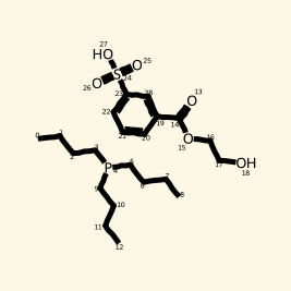 CCCCP(CCCC)CCCC.O=C(OCCO)c1cccc(S(=O)(=O)O)c1